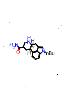 CCCCn1cc2c3c(cccc31)[C@H]1CC(C(N)=O)CN[C@@H]1C2